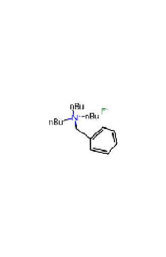 CCCC[N+](CCCC)(CCCC)Cc1ccccc1.[F-]